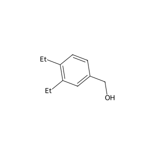 CCc1ccc(CO)cc1CC